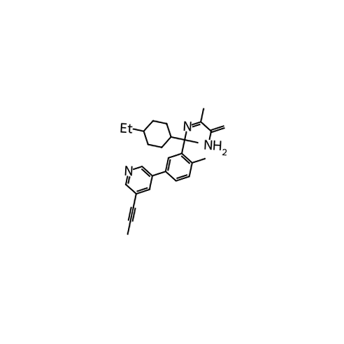 C=C(N)/C(C)=N\C(C)(c1cc(-c2cncc(C#CC)c2)ccc1C)C1CCC(CC)CC1